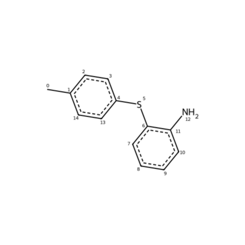 Cc1ccc(Sc2ccccc2N)cc1